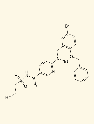 CCN(Cc1cc(Br)ccc1OCc1ccccc1)c1ccc(C(=O)NS(=O)(=O)CCO)cn1